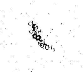 CCc1nc(-c2ccc3c(c2)CC[C@H]3NC(=O)c2cc(Cl)no2)no1